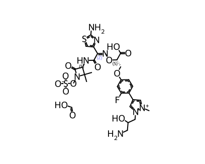 C[n+]1cc(-c2ccc(OC[C@H](O/N=C(\C(=O)N[C@@H]3C(=O)N(OS(=O)(=O)[O-])C3(C)C)c3csc(N)n3)C(=O)O)cc2F)cn1CC(O)CN.O=CO